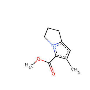 COC(=O)c1c(C)cc2n1CCC2